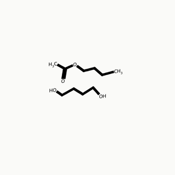 CCCCOC(C)=O.OCCCCO